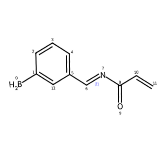 Bc1cccc(/C=N/C(=O)C=C)c1